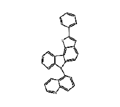 c1ccc(-c2cc3ccc4c(c5ccccc5n4-c4cccc5ncccc45)c3s2)cc1